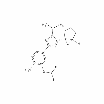 CC(C)n1nc(-c2cnc(N)c(OC(F)F)c2)cc1[C@]12CCC[C@H]1C2